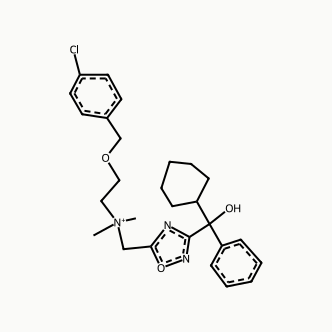 C[N+](C)(CCOCc1ccc(Cl)cc1)Cc1nc(C(O)(c2ccccc2)C2CCCCC2)no1